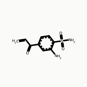 C=CC(=O)c1ccc(S(N)(=O)=O)c(N)c1